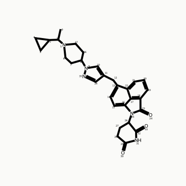 CC(C1CC1)N1CCC(n2cc(Cc3ccc4c5c(cccc35)C(=O)N4C3CCC(=O)NC3=O)cn2)CC1